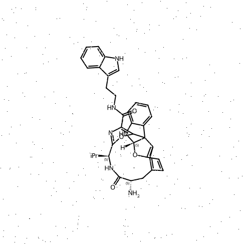 CC(C)[C@@H]1NC(=O)[C@@H](N)Cc2ccc3c(c2)C2(c4ccccc4N[C@H]2O3)c2oc1nc2C(=O)NCCc1c[nH]c2ccccc12